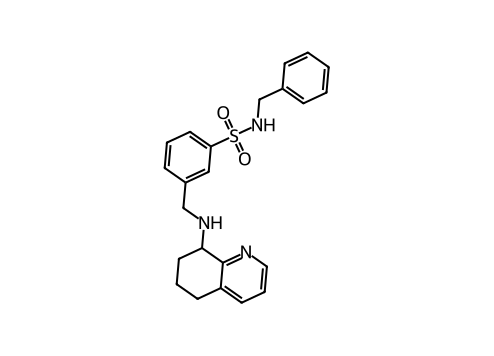 O=S(=O)(NCc1ccccc1)c1cccc(CNC2CCCc3cccnc32)c1